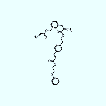 C=CC(=O)OCc1cccc(CC(=C)C(=O)OCCc2ccc(/C=C/C(=O)OCCSc3ccccc3)cc2)c1